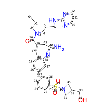 CCCN(CCCNc1ncccn1)C(=O)C1=Cc2ccc(-c3cccc(S(=O)(=O)N4CC(CO)C4)c3)cc2N=C(N)C1